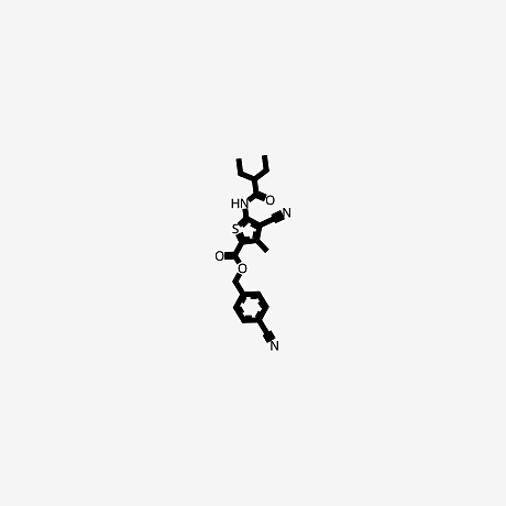 CCC(CC)C(=O)Nc1sc(C(=O)OCc2ccc(C#N)cc2)c(C)c1C#N